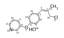 CC(=Cc1ccc(Oc2cccnc2)cc1)CCl.Cl